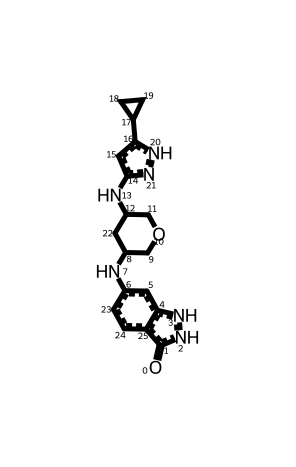 O=c1[nH][nH]c2cc(NC3COCC(Nc4cc(C5CC5)[nH]n4)C3)ccc12